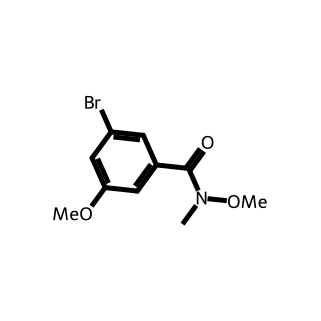 COc1cc(Br)cc(C(=O)N(C)OC)c1